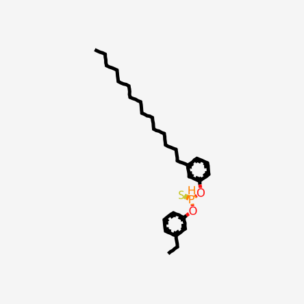 CCCCCCCCCCCCCCCc1cccc(O[PH](=S)Oc2cccc(CC)c2)c1